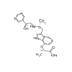 C[C@H](Cc1c[nH]c2c(O[C@@H](C)C(=O)O)cccc12)NC[C@@H](O)c1cccnc1